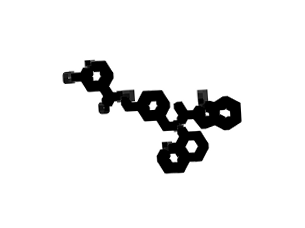 CC(c1cc2ccccc2[nH]1)N(Cc1cccc(CNC(=O)c2ccnc(Cl)c2)c1)C1CCCc2cccnc21